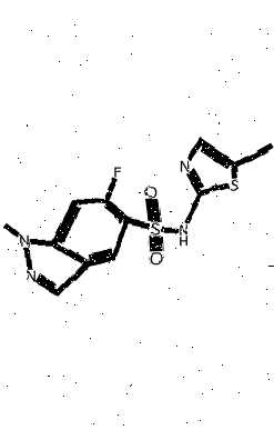 Cc1cnc(NS(=O)(=O)c2cc3cnn(C)c3cc2F)s1